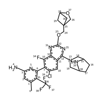 Cc1cc(N)nc(-c2c(Cl)cc3c(N4CC5CCC(C4)N5)nc(OCC45COC(C4)C5)nc3c2F)c1C(F)(F)F